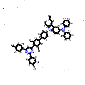 C=C/C=c1\c(=C/C)n(-c2ccc(-c3cc(C)c(-c4cc(-c5ccc(C)cc5)nc(-c5ccc(C)cc5)n4)c(C)c3)cc2)c2ccc(N(c3ccccc3)c3ccccc3)cc12